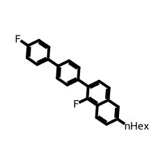 CCCCCCc1ccc2c(F)c(-c3ccc(-c4ccc(F)cc4)cc3)ccc2c1